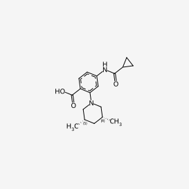 C[C@@H]1C[C@H](C)CN(c2cc(NC(=O)C3CC3)ccc2C(=O)O)C1